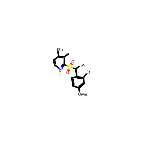 CCCC(c1ccc(OC)cc1CC)S(=O)(=O)c1c(C)c(C(C)(C)C)cc[n+]1[O-]